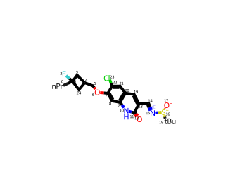 CCCC1(F)CC(COc2cc3[nH]c(=O)c(/C=N/[S+]([O-])C(C)(C)C)cc3cc2Cl)C1